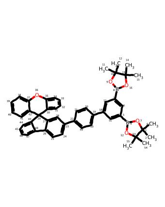 CC1(C)OB(c2cc(B3OC(C)(C)C(C)(C)O3)cc(-c3ccc(-c4ccc5c(c4)C4(c6ccccc6Oc6ccccc64)c4ccccc4-5)cc3)c2)OC1(C)C